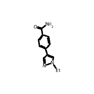 CCn1cc(-c2ccc(C(N)=O)cc2)cn1